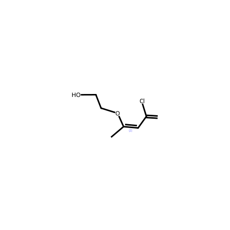 C=C(Cl)/C=C(/C)OCCO